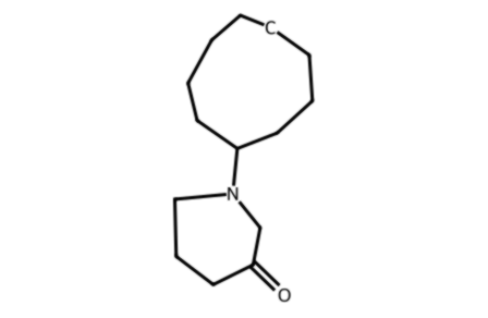 O=C1CCCN(C2CCCCCCCC2)C1